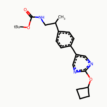 CC(CNC(=O)OC(C)(C)C)c1ccc(-c2cnc(OC3CCC3)nc2)cc1